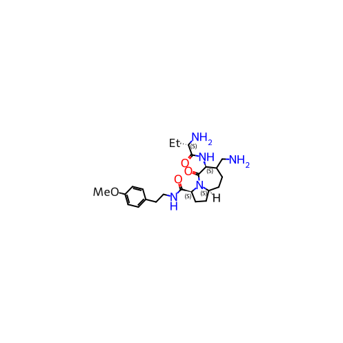 CC[C@H](N)C(=O)N[C@@H]1C(=O)N2[C@@H](CCC1CN)CC[C@H]2C(=O)NCCc1ccc(OC)cc1